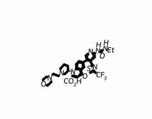 CCNC(=O)Nc1cc(-c2nc(C(F)(F)F)cs2)c(-c2ccc3c(c2)c(=O)c(C(=O)O)cn3[C@H]2CCCN(CCN3CCOCC3)C2)cn1